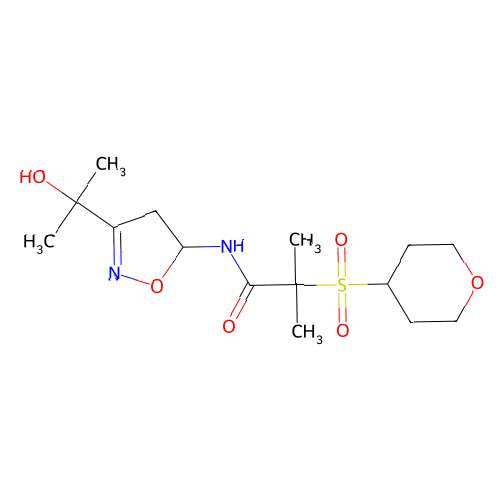 CC(C)(O)C1=NOC(NC(=O)C(C)(C)S(=O)(=O)C2CCOCC2)C1